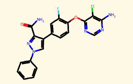 NC(=O)c1nn(-c2ccccc2)cc1-c1ccc(Oc2ncnc(N)c2Cl)c(F)c1